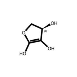 OC1=C(O)[C@H](O)CO1